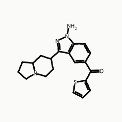 Nn1nc(C2CCN3CCCC3C2)c2cc(C(=O)c3cccs3)ccc21